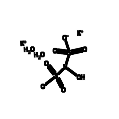 O.O.O=S(=O)([O-])N(O)S(=O)(=O)[O-].[K+].[K+]